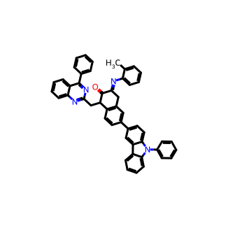 Cc1ccccc1/N=C1\Cc2cc(-c3ccc4c(c3)c3ccccc3n4-c3ccccc3)ccc2C(Cc2nc(-c3ccccc3)c3ccccc3n2)C1=O